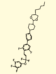 CCCCCC1COC(C2CCC(c3ccc(-c4cc(F)c(/C=C/C(F)(F)Oc5cc(F)c(F)c(F)c5)c(F)c4)cc3)CC2)OC1